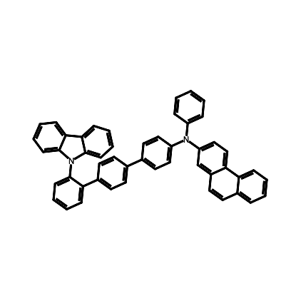 c1ccc(N(c2ccc(-c3ccc(-c4ccccc4-n4c5ccccc5c5ccccc54)cc3)cc2)c2ccc3c(ccc4ccccc43)c2)cc1